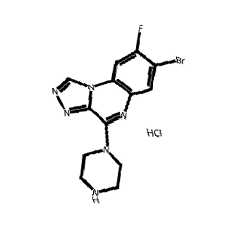 Cl.Fc1cc2c(cc1Br)nc(N1CCNCC1)c1nncn12